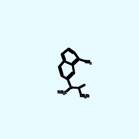 CCOC(=O)C(C)N(C(=O)OCC)c1ccc2cccc([N+](=O)[O-])c2c1